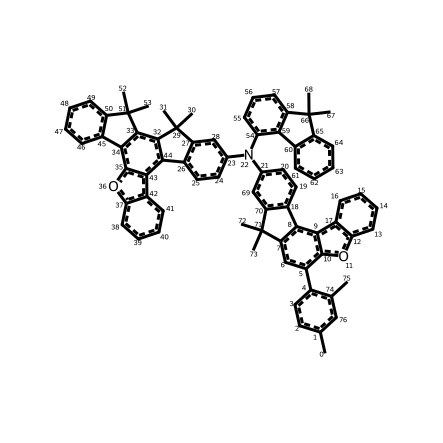 Cc1ccc(-c2cc3c(c4c2oc2ccccc24)-c2ccc(N(c4ccc5c(c4)C(C)(C)c4c6c(c7oc8ccccc8c7c4-5)-c4ccccc4C6(C)C)c4cccc5c4-c4ccccc4C5(C)C)cc2C3(C)C)c(C)c1